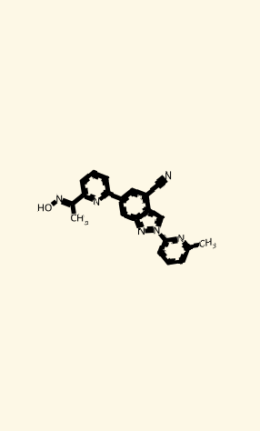 C/C(=N\O)c1cccc(-c2cc(C#N)c3cn(-c4cccc(C)n4)nc3c2)n1